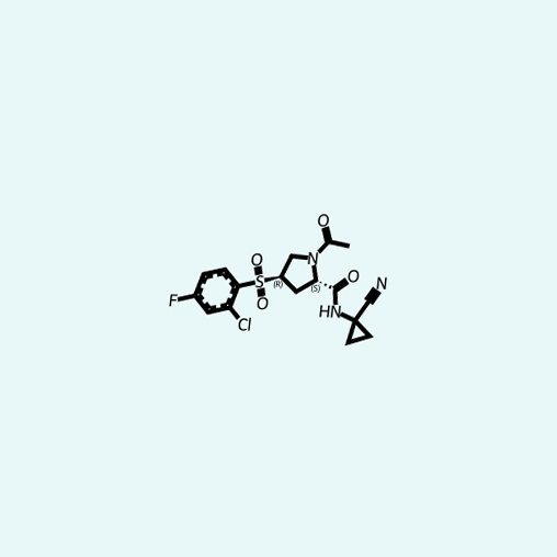 CC(=O)N1C[C@H](S(=O)(=O)c2ccc(F)cc2Cl)C[C@H]1C(=O)NC1(C#N)CC1